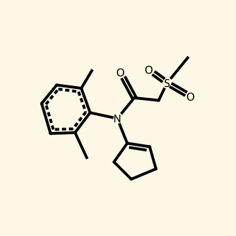 Cc1cccc(C)c1N(C(=O)CS(C)(=O)=O)C1=CCCC1